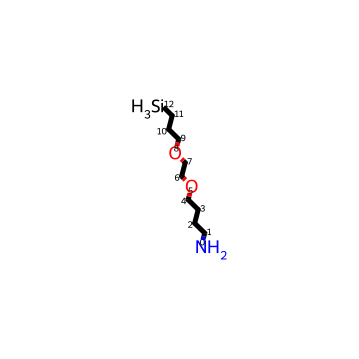 NCCCCOCCOCCC[SiH3]